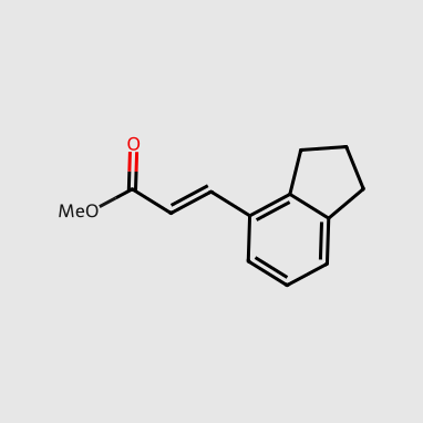 COC(=O)C=Cc1cccc2c1CCC2